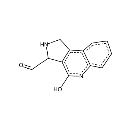 O=CC1NCc2c1c(O)nc1ccccc21